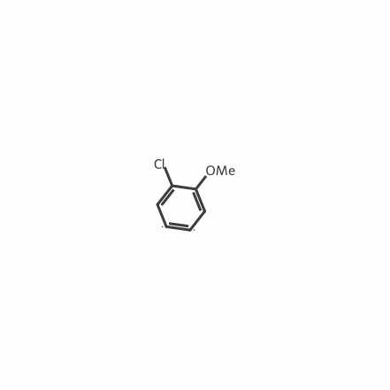 COc1c[c][c]cc1Cl